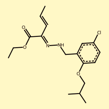 C/C=C/C(=N\NCc1cc(Cl)ccc1OCC(C)C)C(=O)OCC